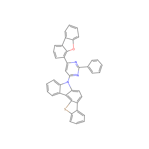 c1ccc(-c2nc(-c3cccc4c3oc3ccccc34)cc(-n3c4ccccc4c4c5sc6ccccc6c5ccc43)n2)cc1